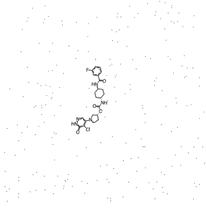 O=C(N[C@H]1CC[C@H](NC(=O)c2cccc(F)c2)CC1)O[C@@H]1CCN(c2cn[nH]c(=O)c2Cl)C1